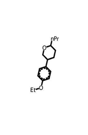 CCCC1CCC(c2ccc(OCC)cc2)CO1